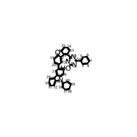 Oc1nc(-c2ccccc2)nc(-c2cccc3oc4ccc(-c5ccc6c(c5)c5ccccc5n6-c5ccccc5)cc4c23)n1